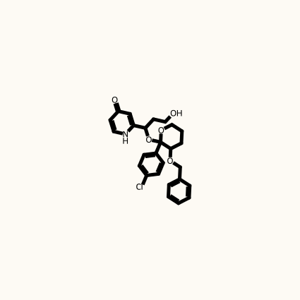 O=c1cc[nH]c(C(CCO)OC2(c3ccc(Cl)cc3)OCCCC2OCc2ccccc2)c1